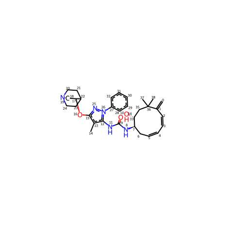 C=C1/C=C\C=C/C[C@@H](NC(=O)Nc2c(C)c(OC3CN4CCC3CC4)nn2-c2ccccc2)[C@H](O)CC1(C)C